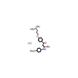 CCCC/C(=C\C(=O)c1ccc(OCCCN(CCCC)CCCC)cc1)Nc1ccc(OC)cc1.Cl